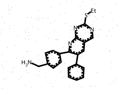 CCSc1ncc2cc(-c3ccccc3)c(-c3ccc(CN)cc3)nc2n1